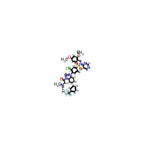 COc1ccc(CN(c2ccncn2)S(=O)(=O)c2cc(Cl)c(N[C@H]3CC[C@H](c4cccc(C(F)(F)F)c4)CC3N(C)C(=O)CN(C)C)cc2F)c(OC)c1